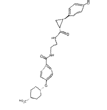 O=C(NCCNC(=O)[C@@H]1C[C@H]1c1ccc(Cl)cc1)c1ccc(O[C@H]2CC[C@@H](C(=O)O)CC2)cc1